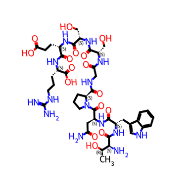 C[C@@H](O)[C@H](N)C(=O)N[C@@H](Cc1c[nH]c2ccccc12)C(=O)N[C@@H](CC(N)=O)C(=O)N1CCC[C@H]1C(=O)NCC(=O)N[C@@H](CO)C(=O)N[C@@H](CO)C(=O)N[C@@H](CCC(=O)O)C(=O)N[C@@H](CCCNC(=N)N)C(=O)O